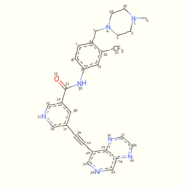 CN1CCN(Cc2ccc(NC(=O)c3cncc(C#Cc4cncc5nccnc45)c3)cc2C(F)(F)F)CC1